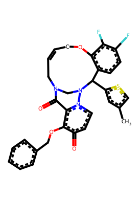 Cc1csc(C2c3ccc(F)c(F)c3OC/C=C\CN3CN2n2ccc(=O)c(OCc4ccccc4)c2C3=O)c1